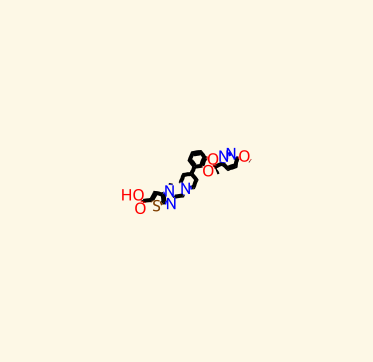 COc1ccc([C@@]2(C)Oc3cccc(C4CCN(Cc5nc6sc(C(=O)O)cc6n5C)CC4)c3O2)nn1